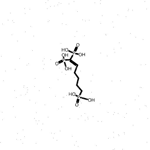 O=P(O)(O)CCCCC=C(P(=O)(O)O)P(=O)(O)O